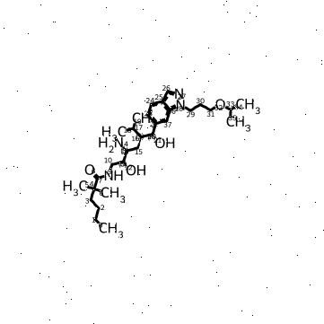 CCCCC(C)(C)C(=O)NC[C@H](O)[C@@H](N)C[C@@H](C(C)C)[C@@H](O)c1ccc2cnn(CCCOC(C)C)c2c1